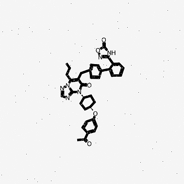 CCCc1c(Cc2ccc(-c3ccccc3-c3noc(=O)[nH]3)cc2)c(=O)n([C@H]2CC[C@@H](Oc3ccc(C(C)=O)cc3)CC2)c2ncnn12